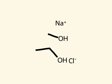 CCO.CO.[Cl-].[Na+]